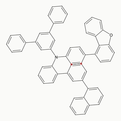 c1ccc(-c2cc(-c3ccccc3)cc(N(c3ccc(-c4cccc5oc6ccccc6c45)cc3)c3ccccc3-c3cccc(-c4cccc5ccccc45)c3)c2)cc1